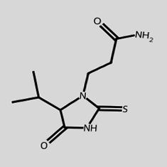 CC(C)C1C(=O)NC(=S)N1CCC(N)=O